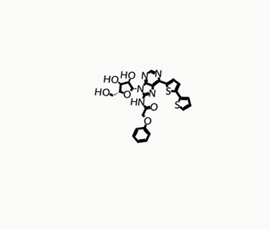 O=C(COc1ccccc1)Nc1nc2c(-c3ccc(-c4cccs4)s3)ncnc2n1[C@@H]1O[C@H](CO)[C@@H](O)[C@H]1O